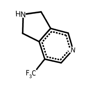 FC(F)(F)c1cncc2c1CNC2